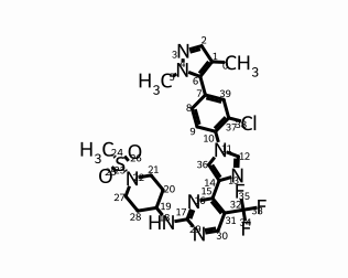 Cc1cnn(C)c1-c1ccc(-n2cnc(-c3nc(NC4CCN(S(C)(=O)=O)CC4)ncc3C(F)(F)F)c2)c(Cl)c1